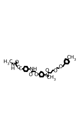 CNC(=O)CCCc1ccc(NC(=O)COc2ccc(N(C)C(=O)CCOCCOCc3ccc(C)cc3)cc2)cc1